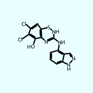 Oc1c(Cl)c(Cl)cc2c1N=C(Nc1cccc3[nH]ncc13)NS2